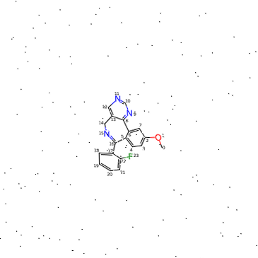 COc1ccc2c(c1)-c1ncncc1CN=C2c1ccccc1F